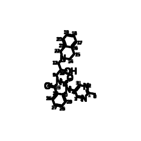 Cc1ncc(-n2c(=O)n(CC(O)CN3CCc4ccccc4C3)c(=O)c3ccccc32)cn1